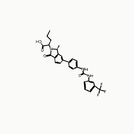 CCCC(C(=O)O)N1C(=O)c2ccc(-c3ccc(NC(=S)Nc4cccc(C(F)(F)F)c4)cc3)cc2[C@@H]1C